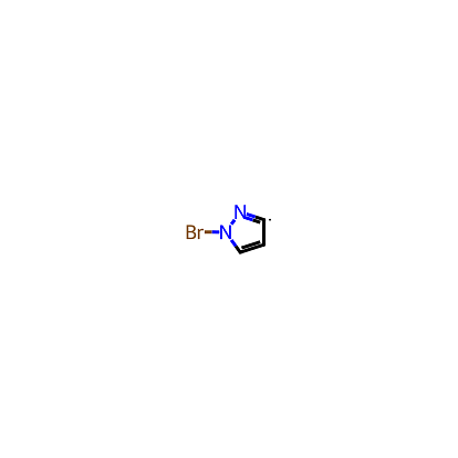 Brn1cc[c]n1